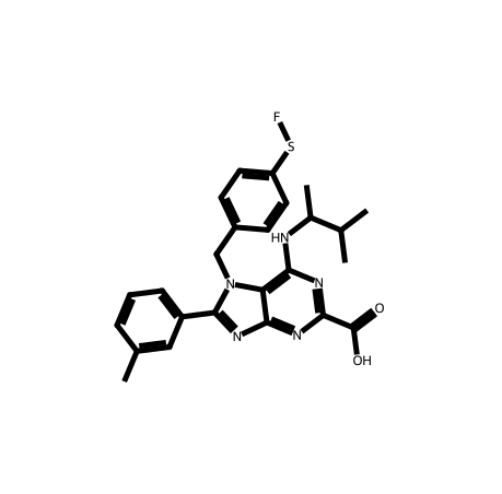 Cc1cccc(-c2nc3nc(C(=O)O)nc(NC(C)C(C)C)c3n2Cc2ccc(SF)cc2)c1